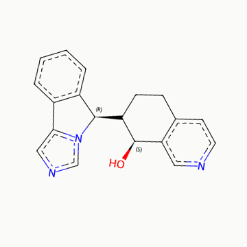 O[C@@H]1c2cnccc2CCC1[C@@H]1c2ccccc2-c2cncn21